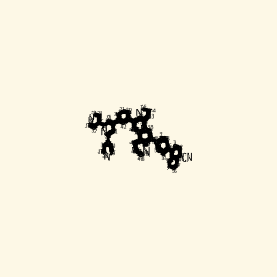 N#Cc1ccc(-c2ccc(-c3cc4c5cccnc5c(-c5cccc(-c6cc(-c7ccncc7)nc(-c7ccncc7)c6)c5)cc4c4cccnc34)cc2)c2ccccc12